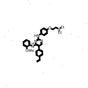 C=Cc1ccc(-c2cnc(Nc3ccc(OCCN(CC)CC)cc3)nc2Nc2ccccc2OC)cc1